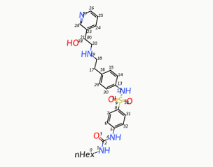 CCCCCCNC(=O)Nc1ccc(S(=O)(=O)Nc2ccc(CCNC[C@H](O)c3cccnc3)cc2)cc1